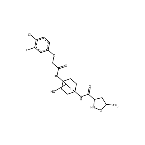 CC1CC(C(=O)NC23CCC(NC(=O)COc4ccc(Cl)c(F)c4)(CC2)C(O)C3)NO1